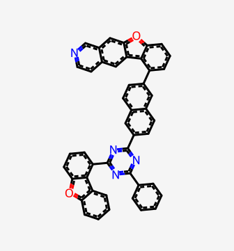 c1ccc(-c2nc(-c3ccc4cc(-c5cccc6oc7cc8cnccc8cc7c56)ccc4c3)nc(-c3cccc4oc5ccccc5c34)n2)cc1